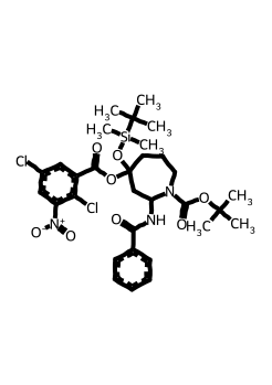 CC(C)(C)OC(=O)N1CCCC(OC(=O)c2cc(Cl)cc([N+](=O)[O-])c2Cl)(O[Si](C)(C)C(C)(C)C)CC1NC(=O)c1ccccc1